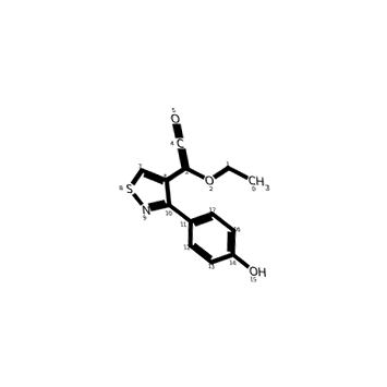 CCOC(=C=O)c1csnc1-c1ccc(O)cc1